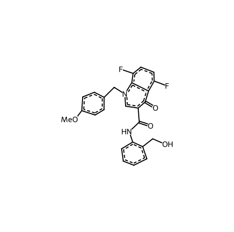 COc1ccc(Cn2cc(C(=O)Nc3ccccc3CO)c(=O)c3c(F)ccc(F)c32)cc1